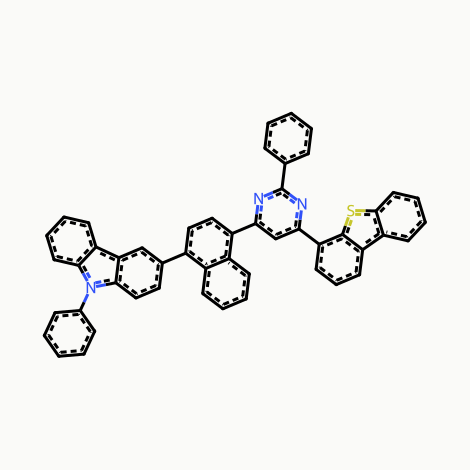 c1ccc(-c2nc(-c3ccc(-c4ccc5c(c4)c4ccccc4n5-c4ccccc4)c4ccccc34)cc(-c3cccc4c3sc3ccccc34)n2)cc1